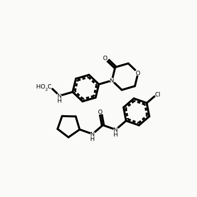 O=C(Nc1ccc(Cl)cc1)NC1CCCC1.O=C(O)Nc1ccc(N2CCOCC2=O)cc1